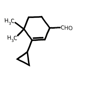 CC1(C)CCC(C=O)C=C1C1CC1